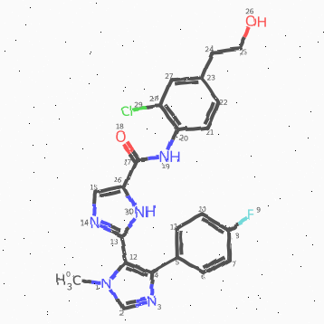 Cn1cnc(-c2ccc(F)cc2)c1-c1ncc(C(=O)Nc2ccc(CCO)cc2Cl)[nH]1